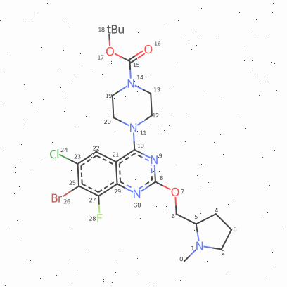 CN1CCCC1COc1nc(N2CCN(C(=O)OC(C)(C)C)CC2)c2cc(Cl)c(Br)c(F)c2n1